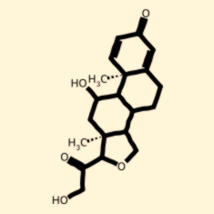 C[C@]12CC(O)C3C(CCC4=CC(=O)C=C[C@@]43C)C1COC2C(=O)CO